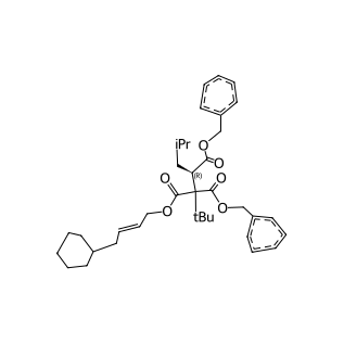 CC(C)C[C@@H](C(=O)OCc1ccccc1)C(C(=O)OCC=CCC1CCCCC1)(C(=O)OCc1ccccc1)C(C)(C)C